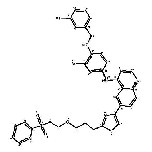 O=S(=O)(CCOCCCc1nc(-c2ccc3ncnc(Nc4ccc(OCc5cccc(F)c5)c(Br)c4)c3c2)cs1)c1ccccn1